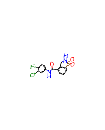 O=C(Nc1ccc(F)c(Cl)c1)c1cccc2c1CNS2(=O)=O